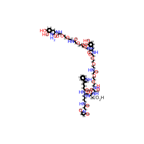 NC(=O)C(Cc1ccc(O)c(O)c1)NC(=O)COCCOCCNC(=O)COCCCOCNC(=O)C(Cc1ccc(O)c(O)c1)NC(=O)COCCOCCNC(=O)COCCOCCNC(=O)[C@H](CO)NC(=O)[C@H](CC(=O)O)NC(=O)[C@@H](CCCCNC(=O)CCN1C(=O)C=CC1=O)NC(=O)CCCc1c[nH]c2ccccc12